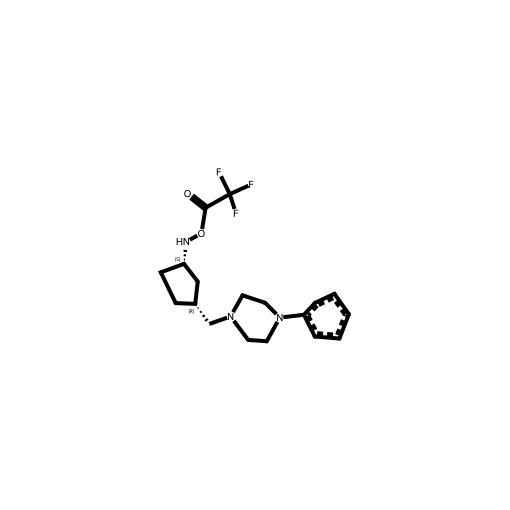 O=C(ON[C@H]1CC[C@@H](CN2CCN(c3ccccc3)CC2)C1)C(F)(F)F